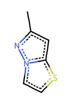 Cc1cc2sccn2n1